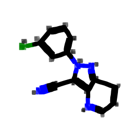 N#Cc1c2ncccc2nn1-c1cccc(Br)c1